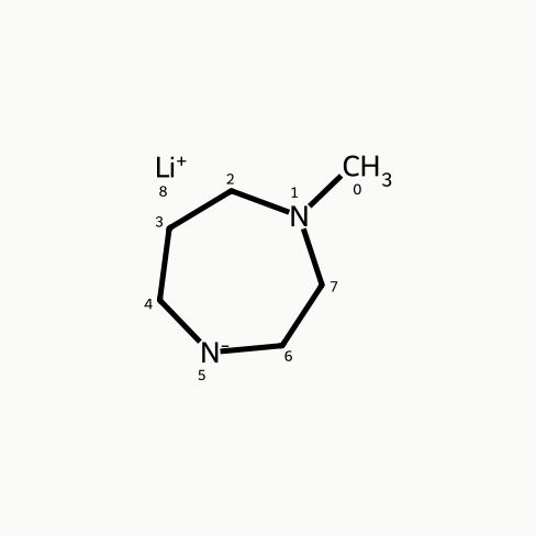 CN1CCC[N-]CC1.[Li+]